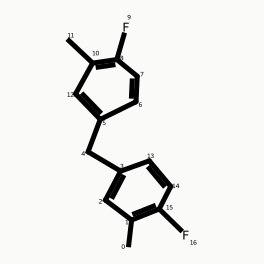 Cc1cc(Cc2ccc(F)c(C)c2)ccc1F